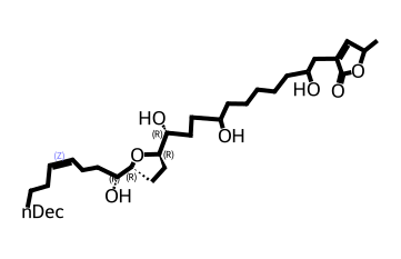 CCCCCCCCCCCC/C=C\CC[C@@H](O)[C@H]1CC[C@H]([C@H](O)CCC(O)CCCCCC(O)CC2=CC(C)OC2=O)O1